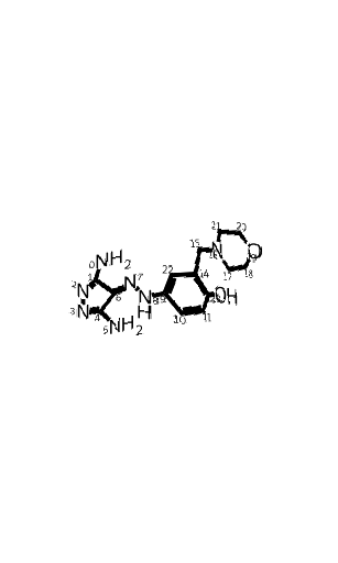 NC1=NN=C(N)C1=NNc1ccc(O)c(CN2CCOCC2)c1